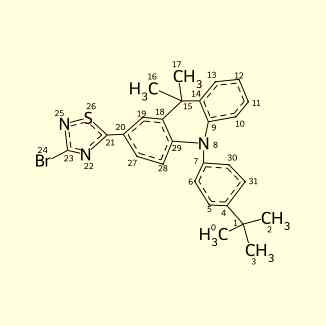 CC(C)(C)c1ccc(N2c3ccccc3C(C)(C)c3cc(-c4nc(Br)ns4)ccc32)cc1